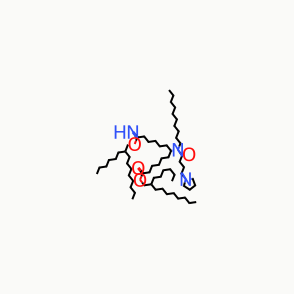 CCCCCCCCCCN(C(=O)CCCN1CCCC1)C(CCCCCC(=N)OCC(CCCCCC)CCCCCCCC)CCCCCC(=O)OCC(CCCCCC)CCCCCCCC